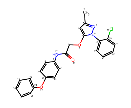 O=C(COc1cc(C(F)(F)F)nn1-c1ccccc1Cl)Nc1ccc(Oc2ccccc2)cc1